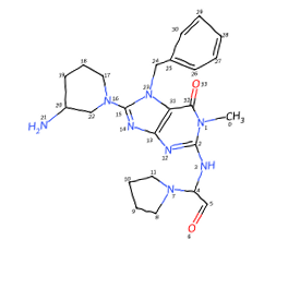 Cn1c(NC(C=O)N2CCCC2)nc2nc(N3CCCC(N)C3)n(Cc3ccccc3)c2c1=O